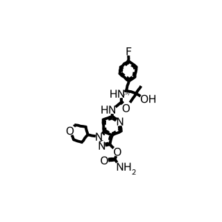 CC(C)(O)[C@@H](NC(=O)Nc1cc2c(cn1)c(OC(N)=O)nn2C1CCOCC1)c1ccc(F)cc1